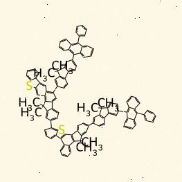 CC1(C)c2ccc(-c3c4ccccc4c(-c4ccccc4)c4ccccc34)cc2-c2ccc(-c3ccc4c(c3)C(C)(C)c3c-4c4sc5c(-c6ccc7c(c6)C(C)(C)c6c-7cc(-c7ccc8c(c7)C(C)(C)c7cc(-c9c%10ccccc%10c(-c%10ccccc%10)c%10ccccc9%10)ccc7-8)c7cc8c(cc67)sc6ccccc68)cccc5c4c4ccccc34)cc21